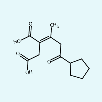 CC(CC(=O)C1CCCC1)=C(CC(=O)O)C(=O)O